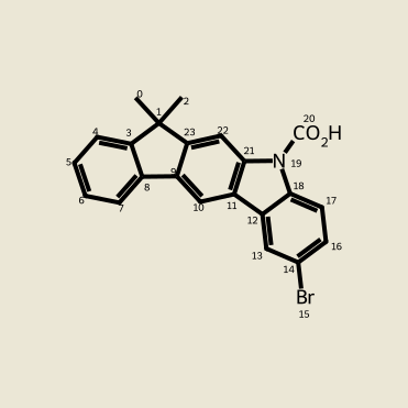 CC1(C)c2ccccc2-c2cc3c4cc(Br)ccc4n(C(=O)O)c3cc21